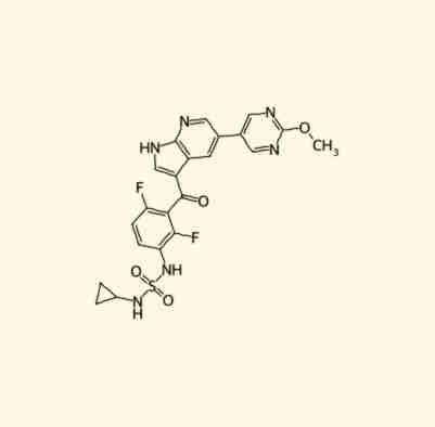 COc1ncc(-c2cnc3[nH]cc(C(=O)c4c(F)ccc(NS(=O)(=O)NC5CC5)c4F)c3c2)cn1